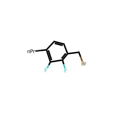 CCCc1ccc(CBr)c(F)c1F